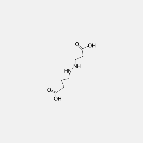 O=C(O)CCCNNCCC(=O)O